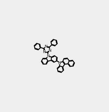 c1ccc(-c2nc(-c3ccccc3)nc(-n3c4ccccc4c4cc(-n5c6ccccc6c6c7ccccc7ccc65)ccc43)n2)cc1